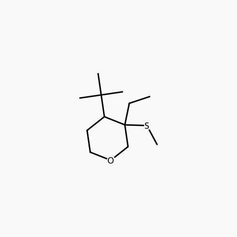 CCC1(SC)COCCC1C(C)(C)C